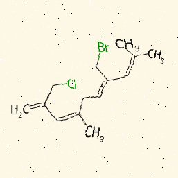 C=C(C=C(C)CC=C(C=C(C)C)CBr)CCl